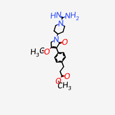 COC(=O)CCc1ccc(C2=C(OC)CN(C3CCN(C(=N)N)CC3)C2=O)cc1